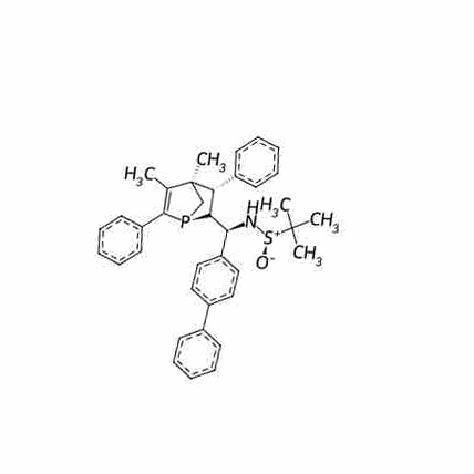 CC1=C(c2ccccc2)[P@@]2C[C@]1(C)[C@H](c1ccccc1)C2[C@@H](N[S@+]([O-])C(C)(C)C)c1ccc(-c2ccccc2)cc1